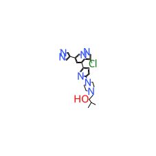 CC(C)C(O)CN1CCN(c2ccc(-c3cc(-c4cnn(C)c4)cn4ncc(Cl)c34)cn2)CC1